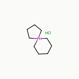 C1CC[PH]2(CC1)CCCC2.Cl